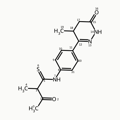 CC(=O)C(C)C(=S)Nc1ccc(C2=NNC(=O)CC2C)cc1